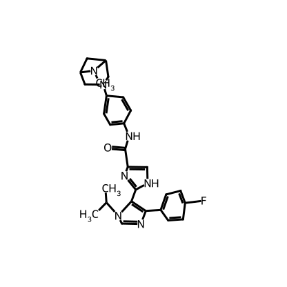 CC(C)n1cnc(-c2ccc(F)cc2)c1-c1nc(C(=O)Nc2ccc(N3CC4CC(C3)N4C)cc2)c[nH]1